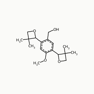 COc1cc(C2OCC2(C)C)c(CO)cc1C1OCC1(C)C